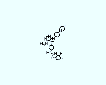 Cc1ccc2c(nc(Nc3ccc(-c4cn([C@H]5CC[C@H](N6CCN(C)CC6)CC5)c5ncnc(N)c45)cc3)n2C)c1F